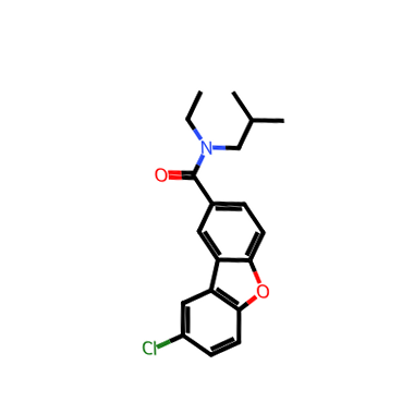 CCN(CC(C)C)C(=O)c1ccc2oc3ccc(Cl)cc3c2c1